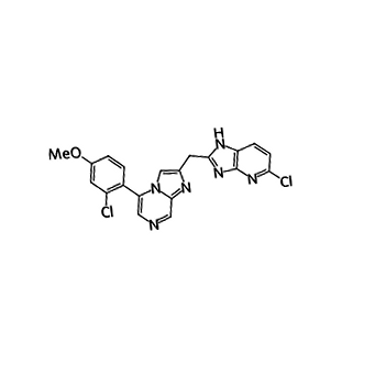 COc1ccc(-c2cncc3nc(Cc4nc5nc(Cl)ccc5[nH]4)cn23)c(Cl)c1